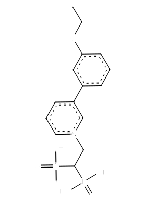 CCOc1cccc(-c2ccc[n+](CC(P(=O)(O)O)P(=O)(O)O)c2)c1